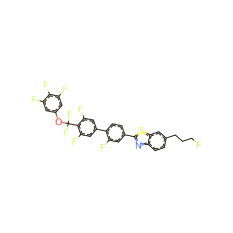 FCCCc1ccc2nc(-c3ccc(-c4cc(F)c(C(F)(F)Oc5cc(F)c(F)c(F)c5)c(F)c4)c(F)c3)sc2c1